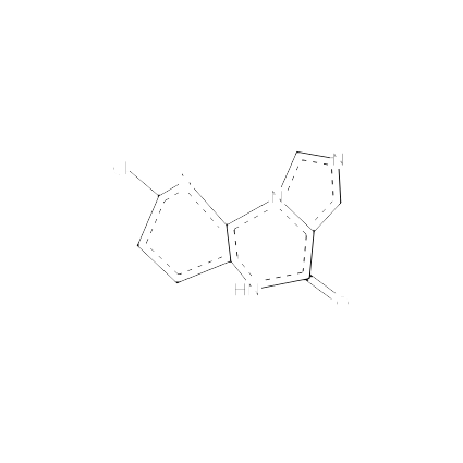 O=c1[nH]c2ccc(Cl)nc2n2cncc12